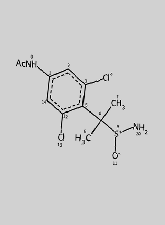 CC(=O)Nc1cc(Cl)c(C(C)(C)[S+](N)[O-])c(Cl)c1